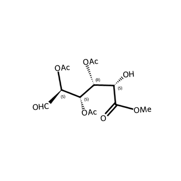 COC(=O)[C@@H](O)[C@@H](OC(C)=O)[C@H](OC(C)=O)[C@@H](C=O)OC(C)=O